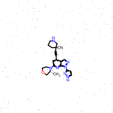 C[C@@H]1COCCN1c1cc(C#CC2(C#N)CCCNC2)c2cnn(-c3cc[nH]n3)c2n1